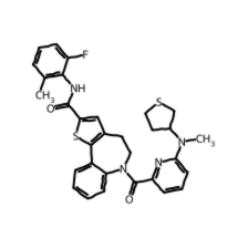 Cc1cccc(F)c1NC(=O)c1cc2c(s1)-c1ccccc1N(C(=O)c1cccc(N(C)C3CCSC3)n1)CC2